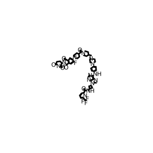 O=C1CC[C@H](N2C(=O)c3cc(F)c(N4CCC(C(=O)N5CCC(CN6CCN(c7ccc(Nc8ncnc9c8ncn9C8CC(NC(=O)c9cccc(C(F)(F)F)n9)C8)cc7)CC6)CC5)CC4)cc3C2=O)C(=O)N1